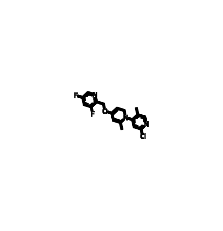 CC1=CC(OCc2ncc(F)cc2F)=CCN1c1cc(Cl)ncc1C